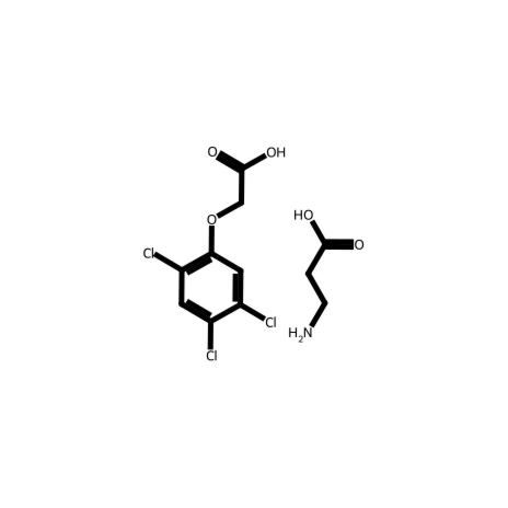 NCCC(=O)O.O=C(O)COc1cc(Cl)c(Cl)cc1Cl